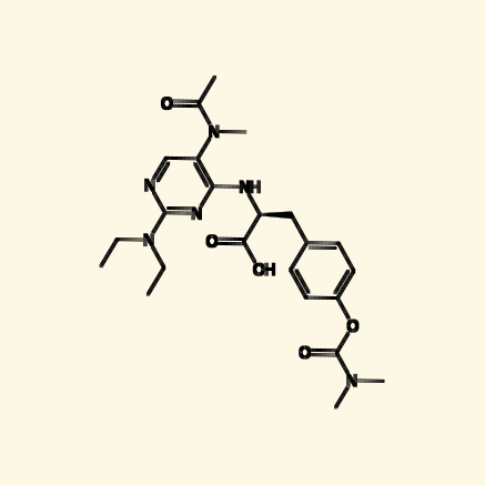 CCN(CC)c1ncc(N(C)C(C)=O)c(N[C@@H](Cc2ccc(OC(=O)N(C)C)cc2)C(=O)O)n1